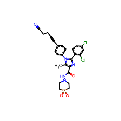 Cc1c(C(=O)NN2CCS(=O)(=O)CC2)nc(-c2ccc(Cl)cc2Cl)n1-c1ccc(C#CCCC#N)cc1